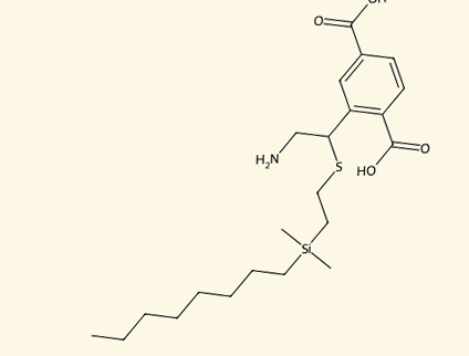 CCCCCCCC[Si](C)(C)CCSC(CN)c1cc(C(=O)O)ccc1C(=O)O